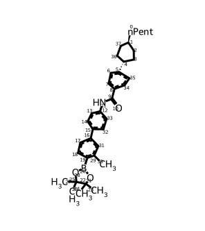 CCCCC[C@H]1CC[C@H](c2ccc(C(=O)Nc3ccc(-c4ccc(B5OC(C)(C)C(C)(C)O5)c(C)c4)cc3)cc2)CC1